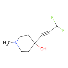 CN1CCC(O)(C#CC(F)F)CC1